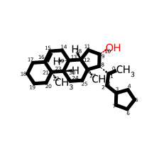 CC(CC1CCCC1)[C@H]1[C@@H](O)C[C@H]2[C@@H]3CC=C4CCCC[C@]4(C)[C@H]3CC[C@@]21C